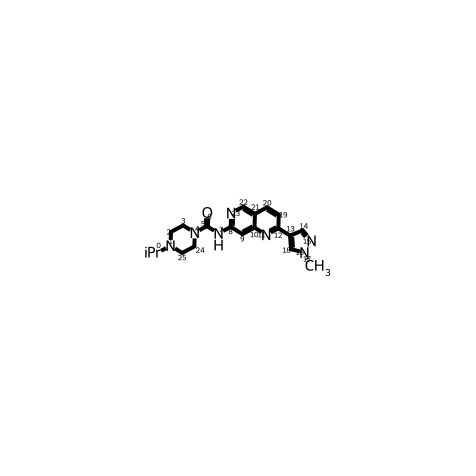 CC(C)N1CCN(C(=O)Nc2cc3nc(-c4cnn(C)c4)ccc3cn2)CC1